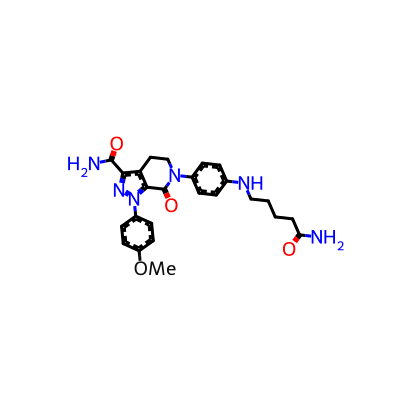 COc1ccc(-n2nc(C(N)=O)c3c2C(=O)N(c2ccc(NCCCCC(N)=O)cc2)CC3)cc1